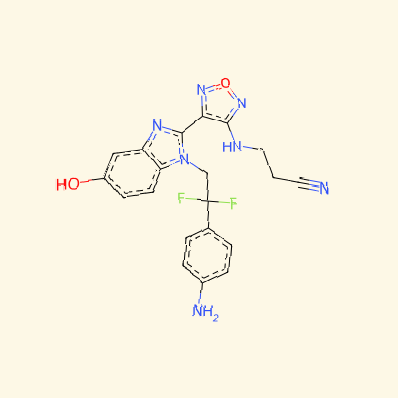 N#CCCNc1nonc1-c1nc2cc(O)ccc2n1CC(F)(F)c1ccc(N)cc1